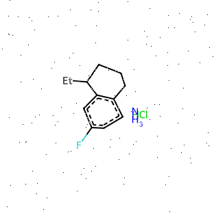 CCC1CCCc2ccc(F)cc21.Cl.N